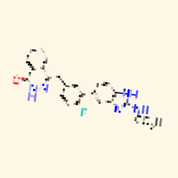 O=C(O)Nc1nc2cc(-c3cc(Cc4n[nH]c(=O)c5c4=CCCC=5)ccc3F)ccc2[nH]1